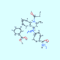 CCC(=O)N1c2ccccc2[C@H](Nc2ccc(C(N)=O)cc2)C[C@@H]1C.COC(=O)c1ccccc1